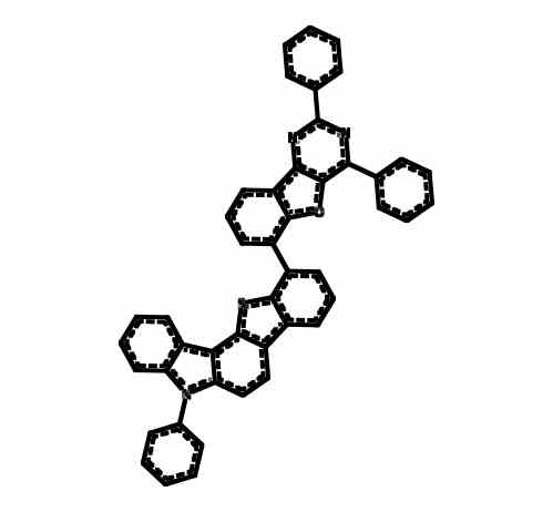 c1ccc(-c2nc(-c3ccccc3)c3oc4c(-c5cccc6c5sc5c6ccc6c5c5ccccc5n6-c5ccccc5)cccc4c3n2)cc1